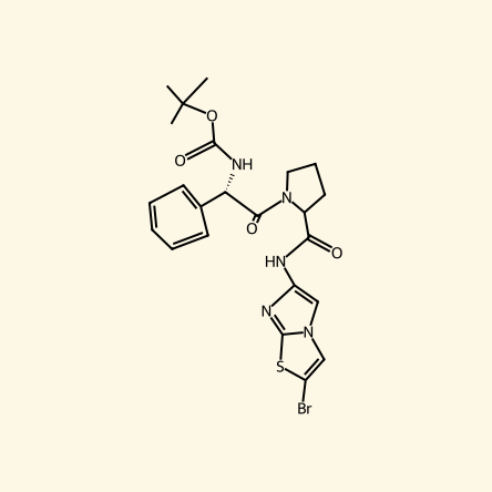 CC(C)(C)OC(=O)N[C@H](C(=O)N1CCCC1C(=O)Nc1cn2cc(Br)sc2n1)c1ccccc1